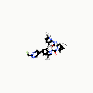 CC(=O)c1cn(CC(=O)N2[C@H](C(=O)Nc3nc(C(F)(F)F)ccc3C)C[C@@]3(C)C[C@@H]23)c2c(C)cc(-c3cnc(CF)nc3)cc12